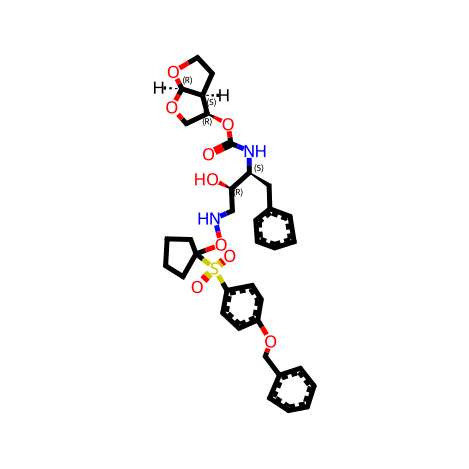 O=C(N[C@@H](Cc1ccccc1)[C@H](O)CNOC1(S(=O)(=O)c2ccc(OCc3ccccc3)cc2)CCCC1)O[C@H]1CO[C@H]2OCC[C@H]21